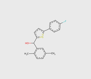 Cc1ccc(C)c(C(O)c2ccc(-c3ccc(F)cc3)s2)c1